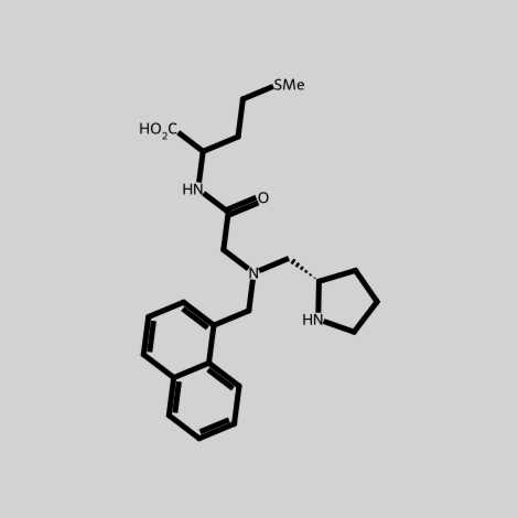 CSCCC(NC(=O)CN(Cc1cccc2ccccc12)C[C@@H]1CCCN1)C(=O)O